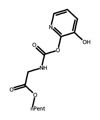 CCCCCOC(=O)CNC(=O)Oc1ncccc1O